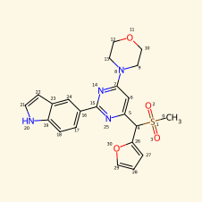 CS(=O)(=O)C(c1cc(N2CCOCC2)nc(-c2ccc3[nH]ccc3c2)n1)c1ccco1